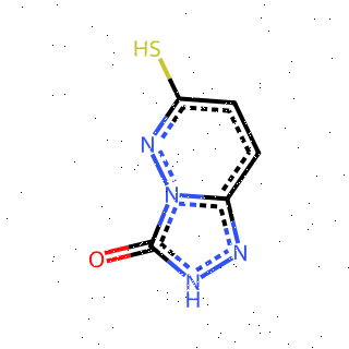 O=c1[nH]nc2ccc(S)nn12